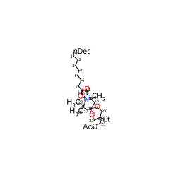 CCCCCCCCCCCCCCCCCC(=O)ON1C(C)(C)CC2(CC1(C)C)OCC(CC)(COC(C)=O)CO2